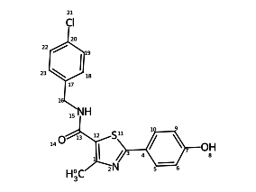 Cc1nc(-c2ccc(O)cc2)sc1C(=O)NCc1ccc(Cl)cc1